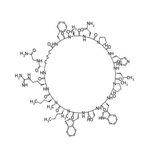 CCCC[C@H]1C(=O)N(C)[C@@H](CCCC)C(=O)N[C@@H](CCCNC(=N)N)C(=O)N[C@H](C(=O)NCC(N)=O)CSCC(=O)N[C@@H](Cc2ccccc2)C(=O)N(C)[C@@H](C)C(=O)N[C@@H](CC(N)=O)C(=O)N2CCC[C@H]2C(=O)N[C@@H](Cc2cnc[nH]2)C(=O)N[C@@H](CC(C)C)C(=O)N2CCC[C@H]2C(=O)N[C@@H](Cc2c[nH]c3ccccc23)C(=O)N[C@@H](CO)C(=O)N[C@@H](Cc2csc3ccccc23)C(=O)N1C